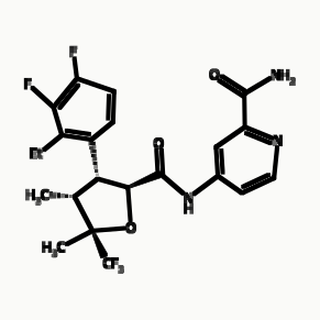 CCc1c([C@@H]2[C@@H](C(=O)Nc3ccnc(C(N)=O)c3)O[C@@](C)(C(F)(F)F)[C@@H]2C)ccc(F)c1F